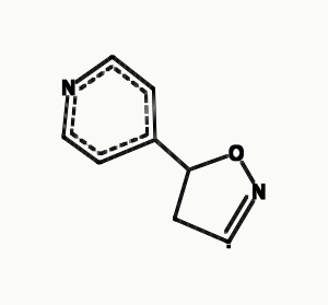 [C]1=NOC(c2ccncc2)C1